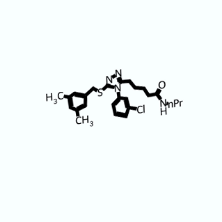 CCCNC(=O)CCCCc1nnc(SCc2cc(C)cc(C)c2)n1-c1cccc(Cl)c1